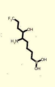 NC(CCCCB(O)O)C(O)CCC(F)(F)F